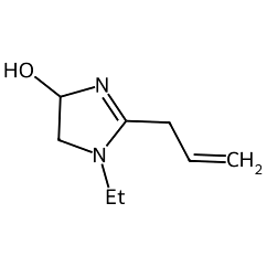 C=CCC1=NC(O)CN1CC